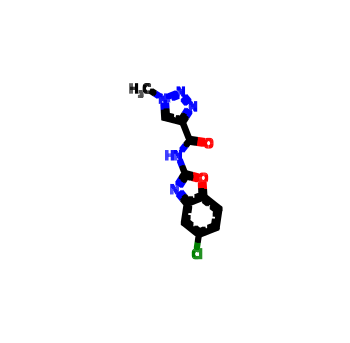 Cn1cc(C(=O)Nc2nc3cc(Cl)ccc3o2)nn1